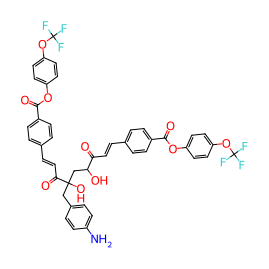 Nc1ccc(CC(O)(CC(O)C(=O)/C=C/c2ccc(C(=O)Oc3ccc(OC(F)(F)F)cc3)cc2)C(=O)/C=C/c2ccc(C(=O)Oc3ccc(OC(F)(F)F)cc3)cc2)cc1